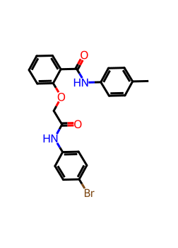 Cc1ccc(NC(=O)c2ccccc2OCC(=O)Nc2ccc(Br)cc2)cc1